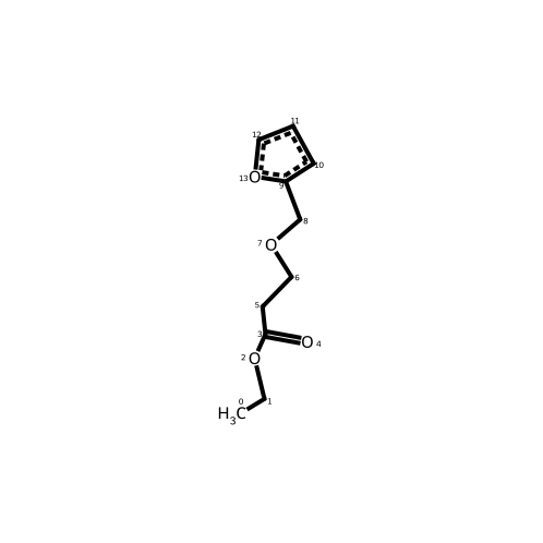 CCOC(=O)CCOCc1ccco1